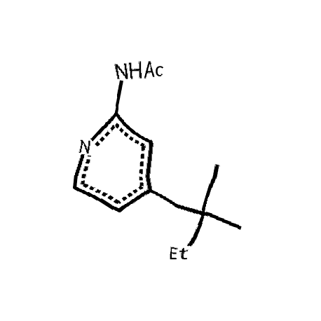 CCC(C)(C)c1ccnc(NC(C)=O)c1